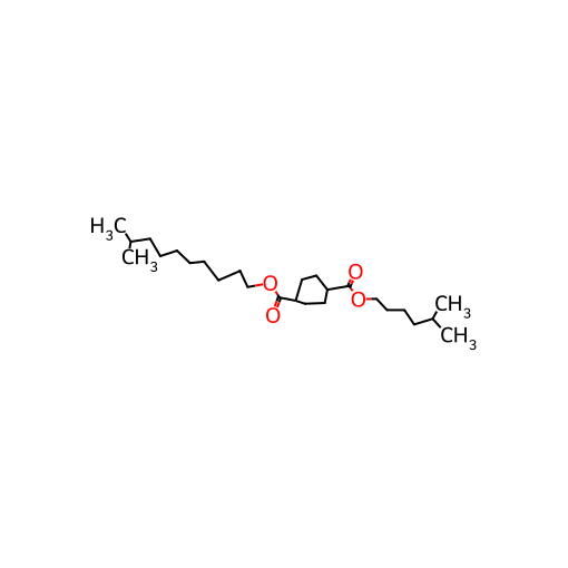 CC(C)CCCCCCCCOC(=O)C1CCC(C(=O)OCCCCC(C)C)CC1